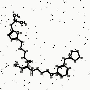 CN(C)Cc1ccc(CSCCN/C(=N\C#N)NCCCOc2cccc(CN3CCCC3)c2)o1